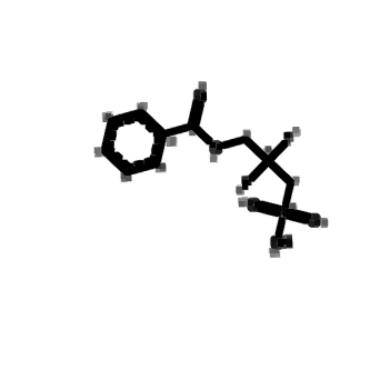 O=C(OCC(F)(F)CS(=O)(=O)O)c1ccccc1